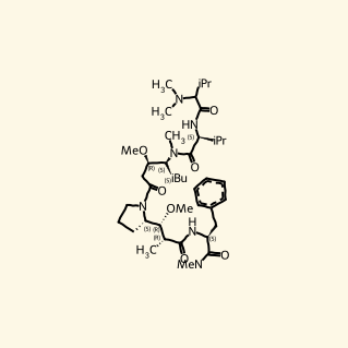 CC[C@H](C)[C@@H]([C@@H](CC(=O)N1CCC[C@H]1[C@H](OC)[C@@H](C)C(=O)N[C@@H](Cc1ccccc1)C(=O)NC)OC)N(C)C(=O)[C@@H](NC(=O)C(C(C)C)N(C)C)C(C)C